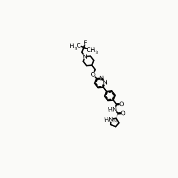 CC(C)(F)CN1CCC(COc2ccc(-c3ccc(C(=O)NC(=O)[C@@H]4CCCN4)cc3)nn2)CC1